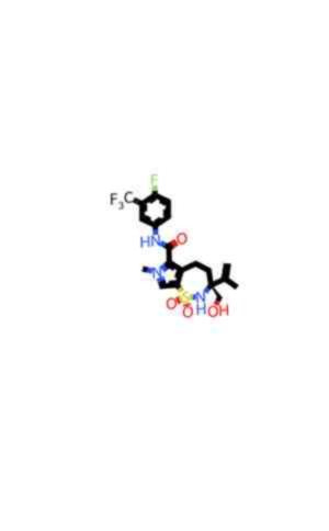 C=C(C)[C@@]1(CO)CCc2c(cn(C)c2C(=O)Nc2ccc(F)c(C(F)(F)F)c2)S(=O)(=O)N1